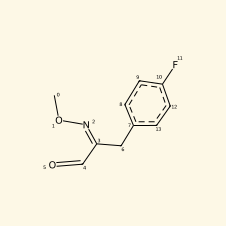 CON=C(C=O)Cc1ccc(F)cc1